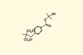 CCOC(=O)C(C)(Cc1ccc(C(=O)OC(C)(C)S)cc1)C(=O)OCC